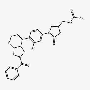 CC(=O)NCC1CN(c2ccc(N3CCOC4CN(C(=O)c5ccccc5)CC43)c(F)c2)C(=O)O1